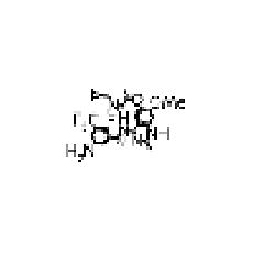 COc1cc2c(cc1O[C@H](C)CN(C)CC1CC1)C(N[C@H](C)c1cc(N)cc(C(F)(F)F)c1F)=NC(C)N2